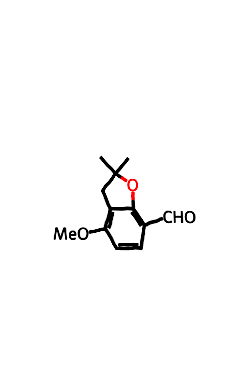 COc1ccc(C=O)c2c1CC(C)(C)O2